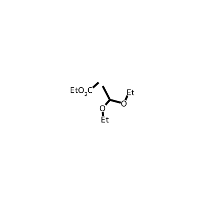 CCOC(C)=O.CCOC(C)OCC